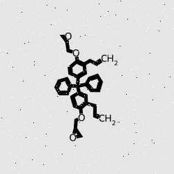 C=CCc1cc(C(c2ccccc2)(c2ccccc2)c2ccc(OCC3CO3)c(CC=C)c2)ccc1OCC1CO1